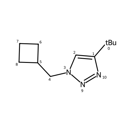 CC(C)(C)c1cn(CC2CCC2)nn1